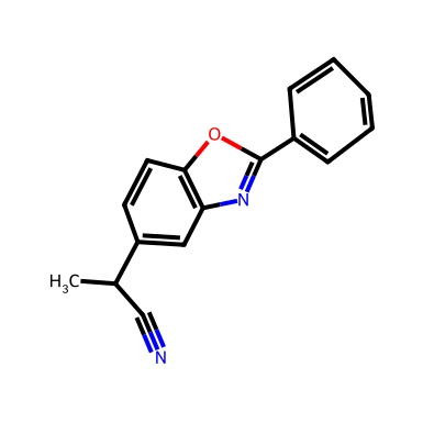 CC(C#N)c1ccc2oc(-c3ccccc3)nc2c1